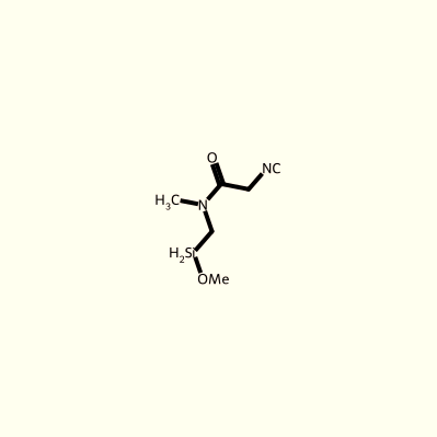 [C-]#[N+]CC(=O)N(C)C[SiH2]OC